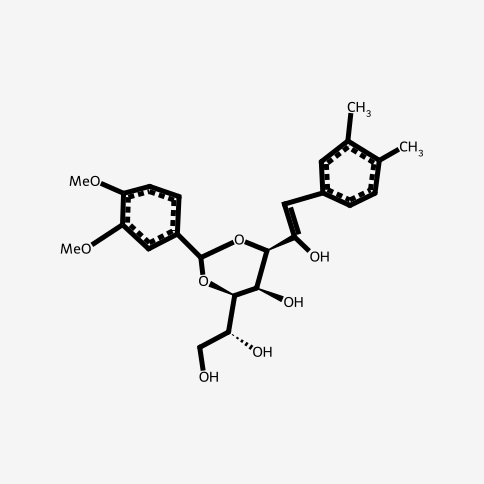 COc1ccc(C2O[C@H]([C@H](O)CO)[C@H](O)[C@H](C(O)=Cc3ccc(C)c(C)c3)O2)cc1OC